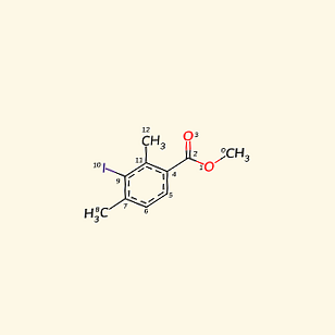 COC(=O)c1ccc(C)c(I)c1C